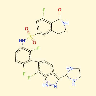 O=C1NCCc2cc(S(=O)(=O)Nc3ccc(F)c(-c4ccc5c(C6NCCN6)n[nH]c5c4F)c3F)cc(F)c21